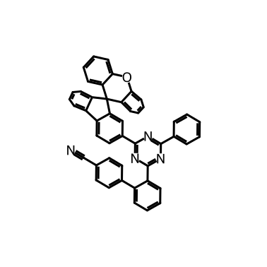 N#Cc1ccc(-c2ccccc2-c2nc(-c3ccccc3)nc(-c3ccc4c(c3)C3(c5ccccc5Oc5ccccc53)c3ccccc3-4)n2)cc1